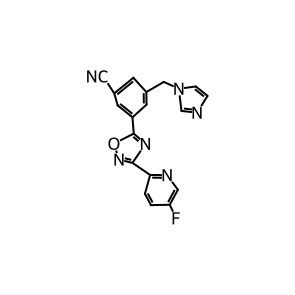 N#Cc1cc(Cn2ccnc2)cc(-c2nc(-c3ccc(F)cn3)no2)c1